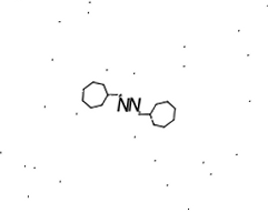 C(=NN=CC1CCCCCC1)C1CCCCCC1